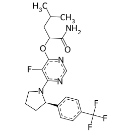 CC(C)CC(Oc1ncnc(N2CCC[C@@H]2c2ccc(C(F)(F)F)cc2)c1F)C(N)=O